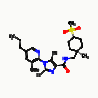 CCc1nc(C(=O)NC[C@]2(C)CC[C@@H](S(C)(=O)=O)CC2)c(C#N)n1-c1ncc(CCC(F)(F)F)cc1OC